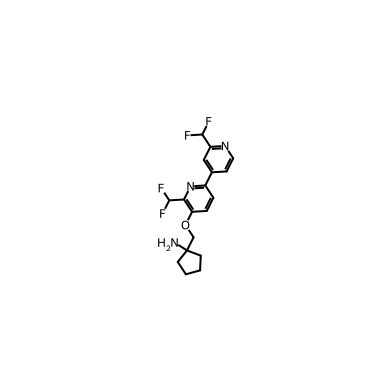 NC1(COc2ccc(-c3ccnc(C(F)F)c3)nc2C(F)F)CCCC1